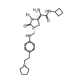 CCN1C(=O)[C@@H](CNc2ccc(CCN3CCCC3)cc2)S/C1=C(/N)C(=O)NC1CCC1